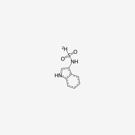 [2H]S(=O)(=O)Nc1c[nH]c2ccccc12